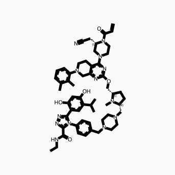 C=CC(=O)N1CCN(c2nc(OC[C@@H]3CC[C@H](CN4CCN(Cc5ccc(-n6c(C(=O)NCC)nnc6-c6cc(C(C)C)c(O)cc6O)cc5)CC4)N3C)nc3c2CCN(c2cccc(C)c2C)C3)C[C@@H]1CC#N